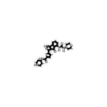 O=C(Nc1cccc2c1C(=O)c1c(-c3ccc(C(=O)NC4CCNCC4)s3)n[nH]c1-2)NN1CCOCC1